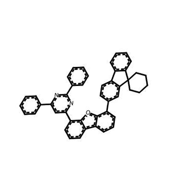 c1ccc(-c2cc(-c3cccc4c3oc3c(-c5ccc6c(c5)C5(CCCCC5)c5ccccc5-6)cccc34)nc(-c3ccccc3)n2)cc1